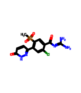 CS(=O)(=O)c1cc(C(=O)N=C(N)N)c(Cl)cc1-c1ccc(=O)[nH]n1